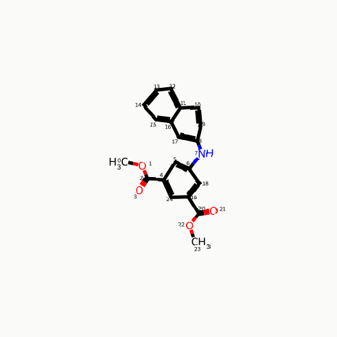 COC(=O)c1cc(Nc2ccc3ccccc3c2)cc(C(=O)OC)c1